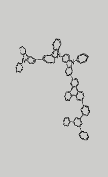 c1ccc(-c2cc(-c3ccccc3)cc(-c3cccc(-c4ccc5c6ccc(-c7ccc8c9cc(-n%10c%11ccccc%11c%11cc(-c%12ccc%13c(c%12)c%12ccccc%12n%13-c%12ccccc%12)ccc%11%10)ccc9n(-c9ccccc9)c8c7)cc6c6ccccc6c5c4)c3)c2)cc1